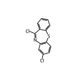 ClC1=Nc2cc(Cl)ccc2Sc2ccccc21